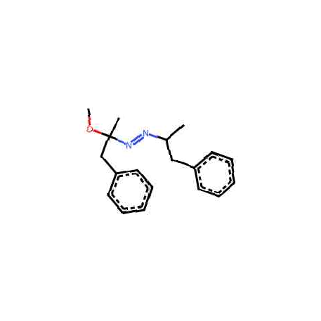 COC(C)(Cc1ccccc1)/N=N/C(C)Cc1ccccc1